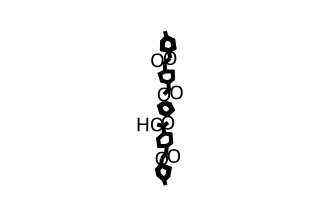 Cc1ccc(OC(=O)C2CCC(C(=O)Oc3ccc(OC(O)C4CCC(C(=O)Oc5ccc(C)cc5)CC4)cc3)CC2)cc1